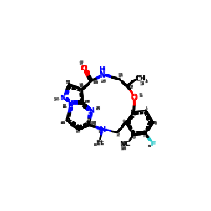 CCN1Cc2c(ccc(F)c2C#N)OC(C)CNC(=O)c2cnn3ccc1nc23